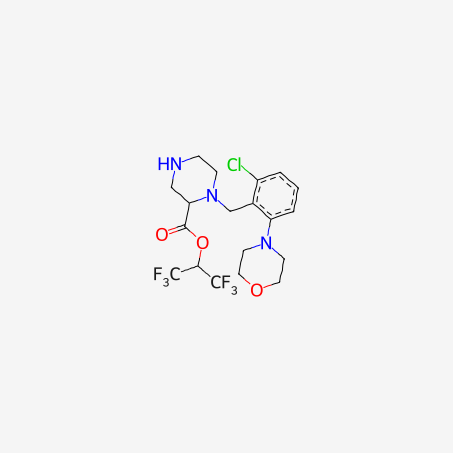 O=C(OC(C(F)(F)F)C(F)(F)F)C1CNCCN1Cc1c(Cl)cccc1N1CCOCC1